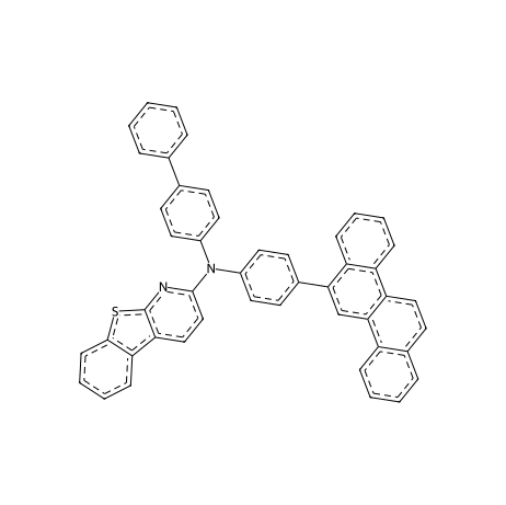 c1ccc(-c2ccc(N(c3ccc(-c4cc5c6ccccc6ccc5c5ccccc45)cc3)c3ccc4c(n3)sc3ccccc34)cc2)cc1